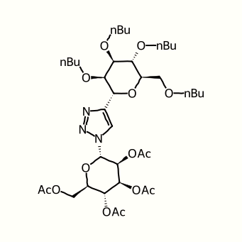 CCCCOC[C@H]1O[C@H](c2cn([C@H]3O[C@H](COC(C)=O)[C@@H](OC(C)=O)[C@H](OC(C)=O)[C@@H]3OC(C)=O)nn2)[C@@H](OCCCC)[C@@H](OCCCC)[C@@H]1OCCCC